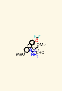 COCCN(C=O)/C(N)=N\C1(C)c2cc(OC(F)F)ccc2C[C@]12CC[C@@H](OC)CC2